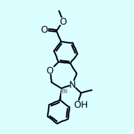 COC(=O)c1ccc2c(c1)OC[C@H](c1ccccc1)N(C(C)O)C2